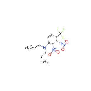 CCCN(CCC)c1ccc(C(F)(F)F)c([N+](=O)[O-])c1[N+](=O)[O-]